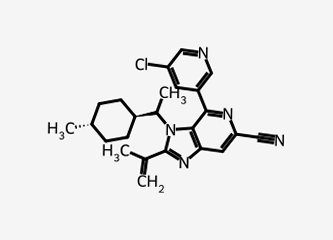 C=C(C)c1nc2cc(C#N)nc(-c3cncc(Cl)c3)c2n1C(C)[C@H]1CC[C@H](C)CC1